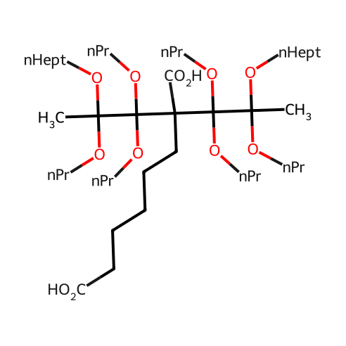 CCCCCCCOC(C)(OCCC)C(OCCC)(OCCC)C(CCCCCC(=O)O)(C(=O)O)C(OCCC)(OCCC)C(C)(OCCC)OCCCCCCC